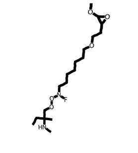 CCC(C)(COON(F)CCCCCCCOCCC1OC1OC)NC